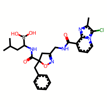 Cc1nc2c(C(=O)NCC3=NOC(Cc4ccccc4)(C(=O)NC(CC(C)C)B(O)O)C3)cccn2c1Cl